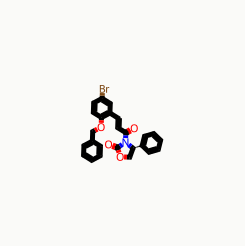 O=C(/C=C/c1cc(Br)ccc1OCc1ccccc1)N1C(=O)OC[C@H]1c1ccccc1